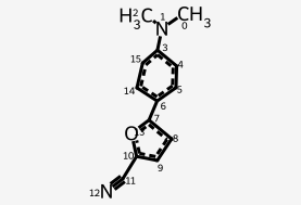 CN(C)c1ccc(-c2ccc(C#N)o2)cc1